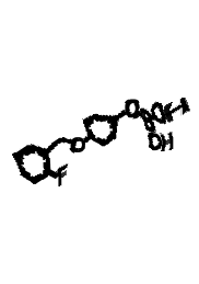 OB(O)Oc1ccc(OCc2ccccc2F)cc1